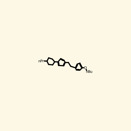 CCCCOc1ccc(CCc2ccc(C3CCC(CCC)CC3)cc2)cc1